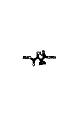 C=C(C(=O)OC)C1(C(=O)OC)CC1